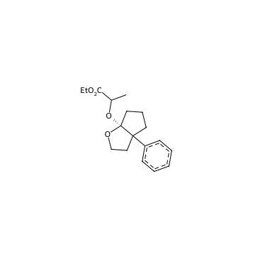 CCOC(=O)C(C)O[C@]12CCCC1(c1ccccc1)CCO2